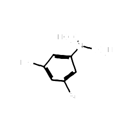 O=C(O)N(C(=O)O)c1cc(Br)cc(C(F)(F)F)c1